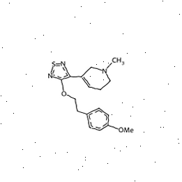 COc1ccc(CCOc2nsnc2C2=CCCN(C)C2)cc1